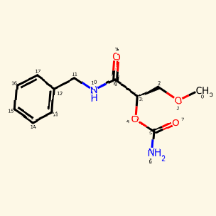 COC[C@@H](OC(N)=O)C(=O)NCc1ccccc1